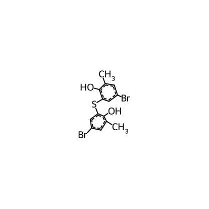 Cc1cc(Br)cc(Sc2cc(Br)cc(C)c2O)c1O